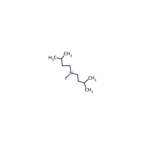 CC(C)CCN(I)CCC(C)C